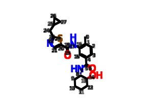 Cc1ccc(C(=O)N[C@H]2CCCC[C@@H]2O)cc1NC(=O)c1cnc(CC2CC2)s1